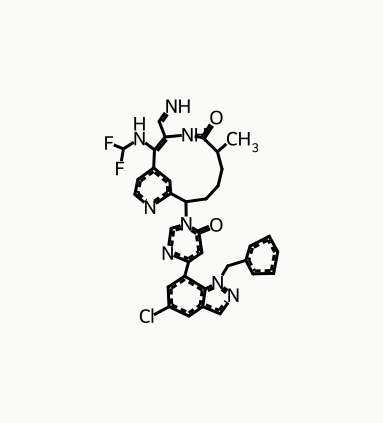 CC1CCCC(n2cnc(-c3cc(Cl)cc4cnn(Cc5ccccc5)c34)cc2=O)c2cc(ccn2)/C(NC(F)F)=C(/C=N)NC1=O